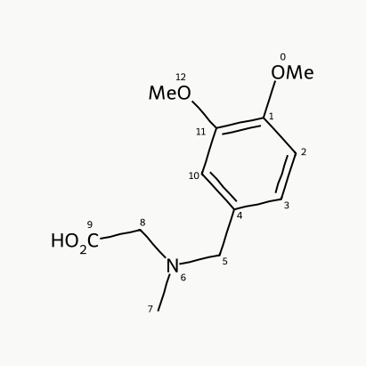 COc1ccc(CN(C)CC(=O)O)cc1OC